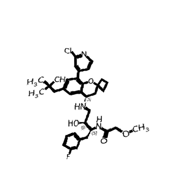 COCC(=O)N[C@@H](Cc1cccc(F)c1)[C@@H](O)CN[C@H]1CC2(CCC2)Oc2c(-c3ccnc(Cl)c3)cc(CC(C)(C)C)cc21